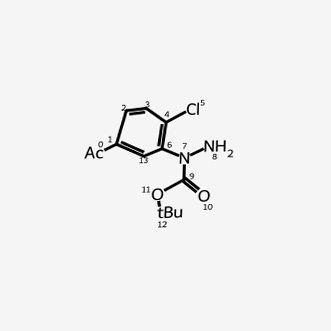 CC(=O)c1ccc(Cl)c(N(N)C(=O)OC(C)(C)C)c1